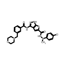 CN(NC(=O)c1cc2c(NC(=O)c3cccc(CN4CCOCC4)c3)n[nH]c2s1)c1ccc(Cl)cc1